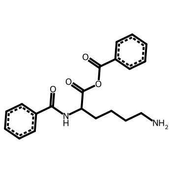 NCCCCC(NC(=O)c1ccccc1)C(=O)OC(=O)c1ccccc1